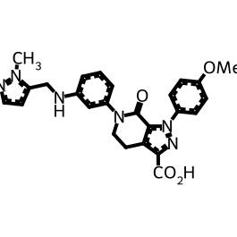 COc1ccc(-n2nc(C(=O)O)c3c2C(=O)N(c2cccc(NCc4ccnn4C)c2)CC3)cc1